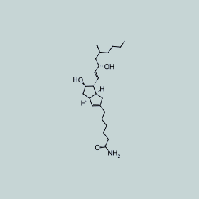 CCCC[C@H](C)C[C@H](O)/C=C/[C@@H]1[C@H]2CC(CCCCCC(N)=O)=C[C@H]2C[C@H]1O